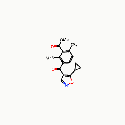 COC(=O)c1c(C(F)(F)F)ccc(C(=O)c2cnoc2C2CC2)c1SC